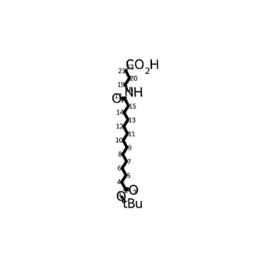 CC(C)(C)OC(=O)CCCCCCCCCCCCC(=O)NCCCC(=O)O